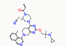 C=CC(=O)N1CCN(c2nc(OCC(C)(C)N(C)C3CC3)nc3c2CCN(c2cncc4cccc(C)c24)C3)C[C@@H]1CC#N